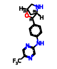 FC(F)(F)c1cnc(Nc2ccc([C@H]3O[C@@H]4CN[C@H]3C4)cc2)cn1